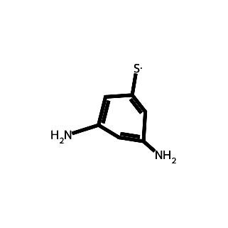 Nc1cc(N)cc([S])c1